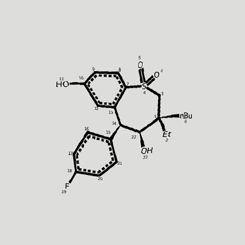 CCCC[C@]1(CC)CS(=O)(=O)c2ccc(O)cc2[C@H](c2ccc(F)cc2)[C@@H]1O